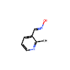 Cc1ncccc1/C=N/O